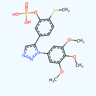 COc1cc(-n2nncc2-c2ccc(SC)c(OP(=O)(O)O)c2)cc(OC)c1OC